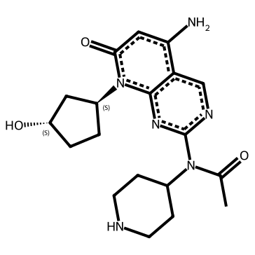 CC(=O)N(c1ncc2c(N)cc(=O)n([C@H]3CC[C@H](O)C3)c2n1)C1CCNCC1